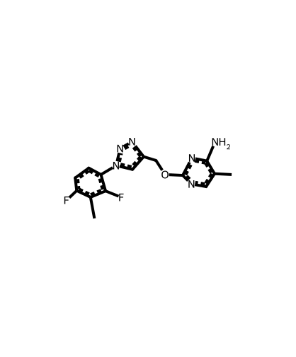 Cc1cnc(OCc2cn(-c3ccc(F)c(C)c3F)nn2)nc1N